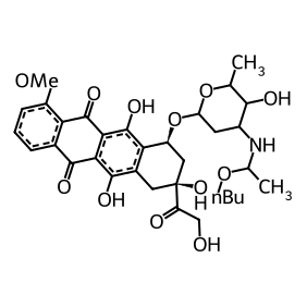 CCCCOC(C)NC1CC(O[C@H]2C[C@](O)(C(=O)CO)Cc3c(O)c4c(c(O)c32)C(=O)c2c(OC)cccc2C4=O)OC(C)C1O